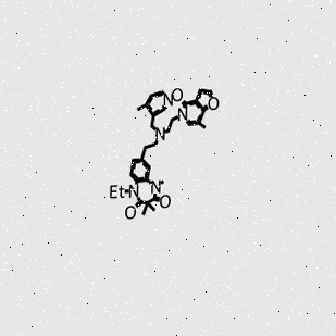 CCN1C(=O)C(C)(C)C(=O)N(C)c2cc(CCN(CCn3cc(C)c4occc4c3=O)Cc3cnccc3C)ccc21